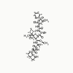 C=C[C@@H]1C[C@]1(NC(=O)[C@@H]1CC2(CN1C(=O)C(NC(=O)N[C@H](CN(C)S(=O)(=O)c1ccccn1)C(C)(C)C)C(C)C)C(C)(C)C21CCC1)C(=O)NS(=O)(=O)c1cccc2cc[nH]c12